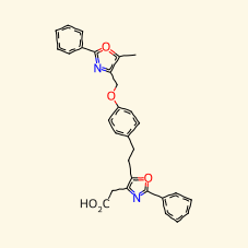 Cc1oc(-c2ccccc2)nc1COc1ccc(CCc2oc(-c3ccccc3)nc2CC(=O)O)cc1